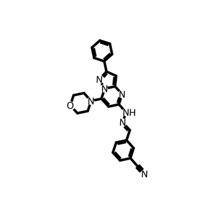 N#Cc1cccc(/C=N/Nc2cc(N3CCOCC3)n3nc(-c4ccccc4)cc3n2)c1